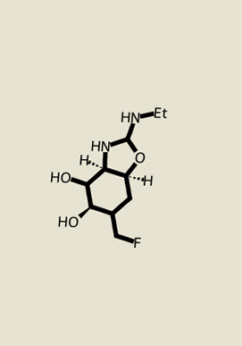 CCNC1N[C@@H]2C(O)[C@H](O)C(CF)C[C@@H]2O1